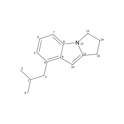 CC(C)Cc1cccc2c1cc1n2CCC1